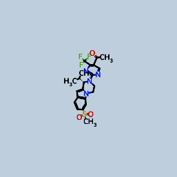 CC(=O)c1cnc(N2CCn3c(cc4ccc(S(C)(=O)=O)cc43)[C@@H]2C(C)C)nc1C(F)(F)F